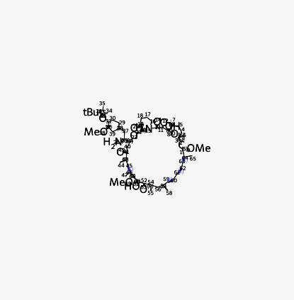 CO[C@H]1C[C@@H]2CC[C@@H](C)[C@@](O)(O2)C(=O)C(=O)N2CCCC[C@H]2C(=O)O[C@H]([C@H](N)C[C@@H]2CCC(O[Si](C)(C)C(C)(C)C)[C@H](OC)C2)CC(=O)[C@H](C)/C=C(\C)[C@@H](OC)[C@@H](O)C(=O)[C@H](C)C[C@H](C)/C=C/C=C/C=C/1C